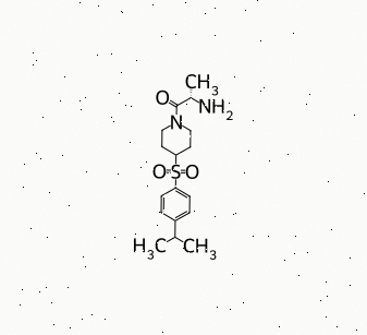 CC(C)c1ccc(S(=O)(=O)C2CCN(C(=O)[C@H](C)N)CC2)cc1